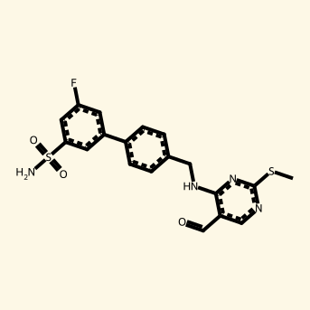 CSc1ncc(C=O)c(NCc2ccc(-c3cc(F)cc(S(N)(=O)=O)c3)cc2)n1